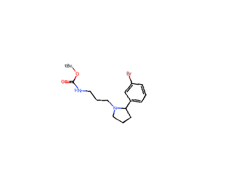 CC(C)(C)OC(=O)NCCCN1CCCC1c1cccc(Br)c1